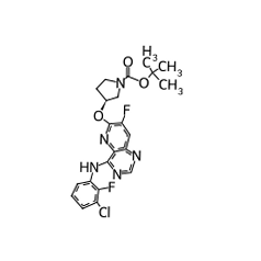 CC(C)(C)OC(=O)N1CC[C@H](Oc2nc3c(Nc4cccc(Cl)c4F)ncnc3cc2F)C1